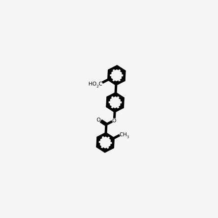 Cc1ccccc1C(=O)Oc1ccc(-c2ccccc2C(=O)O)cc1